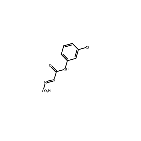 O=C(O)/N=N/C(=O)Nc1cccc(Cl)c1